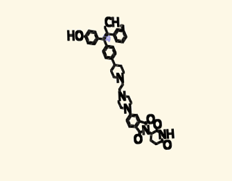 CC/C(=C(\c1ccc(O)cc1)c1ccc(C2CCN(CCN3CCN(c4ccc5c(c4)C(=O)N(C4CCC(=O)NC4=O)C5=O)CC3)CC2)cc1)c1ccccc1